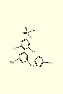 Cc1cccc(C)c1.Cc1cccc(C)c1.Cc1ccccc1.O=P(O)(O)O